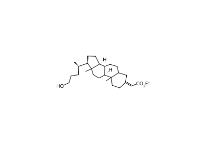 CCOC(=O)/C=C1/CCC2(C)C(CCC3[C@@H]2CCC2(C)[C@@H]([C@H](C)CCCO)CC[C@@H]32)C1